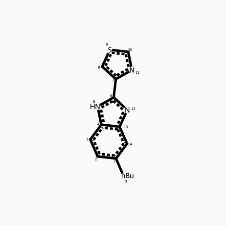 CCCCc1ccc2[nH]c(-c3cscn3)nc2c1